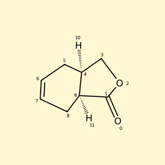 O=C1OC[C@@H]2CC=CC[C@H]12